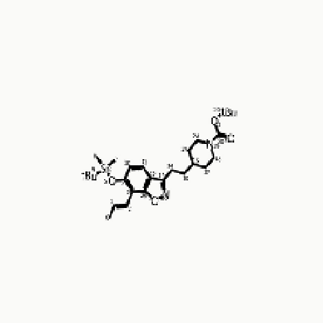 CC=Cc1c(O[Si](C)(C)C(C)(C)C)ccc2c(CCC3CCN(C(=O)OC(C)(C)C)CC3)noc12